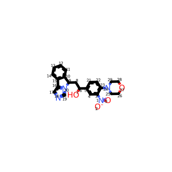 O=[N+]([O-])c1cc(C(O)CC2c3ccccc3-c3cncn32)ccc1N1CCOCC1